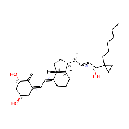 C=C1/C(=C\C=C2/CCC[C@]3(C)[C@@H]([C@H](C)/C=C/[C@@H](O)C4(CCCCCC)CC4)CC[C@@H]23)C[C@@H](O)C[C@@H]1O